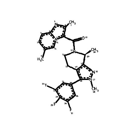 Cc1ccc2nc(C)c(C(=O)N3CCc4c(nn(C)c4-c4cc(F)c(F)c(F)c4)[C@@H]3C)n2c1